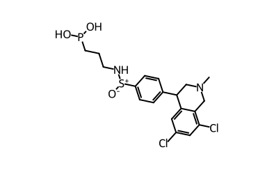 CN1Cc2c(Cl)cc(Cl)cc2C(c2ccc([S+]([O-])NCCCP(O)O)cc2)C1